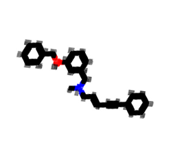 CN(CC=CC#Cc1ccccc1)Cc1cccc(OCc2ccccc2)c1